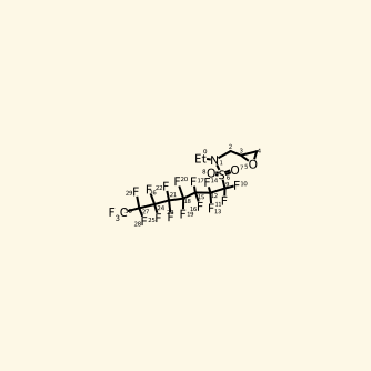 CCN(CC1CO1)S(=O)(=O)C(F)(F)C(F)(F)C(F)(F)C(F)(F)C(F)(F)C(F)(F)C(F)(F)C(F)(F)F